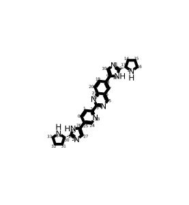 c1cc(-c2ncc3cc(-c4cnc([C@@H]5CCCN5)[nH]4)ccc3n2)ncc1-c1cnc([C@@H]2CCCN2)[nH]1